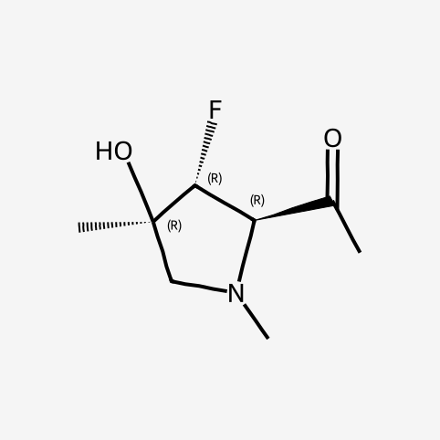 CC(=O)[C@@H]1[C@@H](F)[C@](C)(O)CN1C